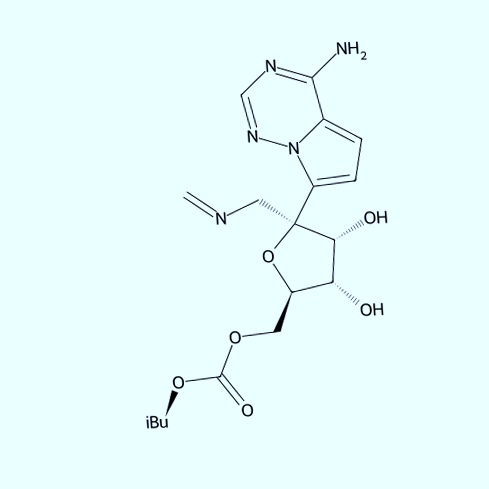 C=NC[C@@]1(c2ccc3c(N)ncnn23)O[C@H](COC(=O)O[C@H](C)CC)[C@@H](O)[C@H]1O